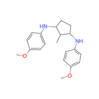 COc1ccc(NC2CCC(Nc3ccc(OC)cc3)C2C)cc1